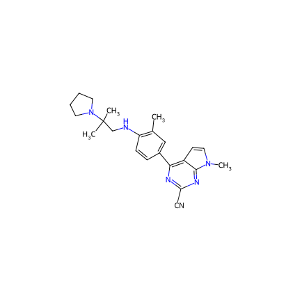 Cc1cc(-c2nc(C#N)nc3c2ccn3C)ccc1NCC(C)(C)N1CCCC1